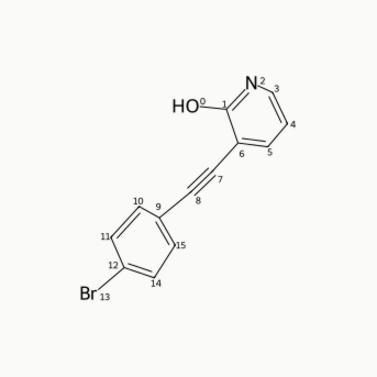 Oc1ncccc1C#Cc1ccc(Br)cc1